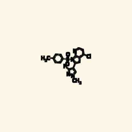 Cc1ccc(S(=O)(=O)n2c(-c3cn(C)nc3F)cc3c(Cl)ccnc32)cc1